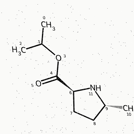 CC(C)OC(=O)[C@@H]1CC[C@@H](C)N1